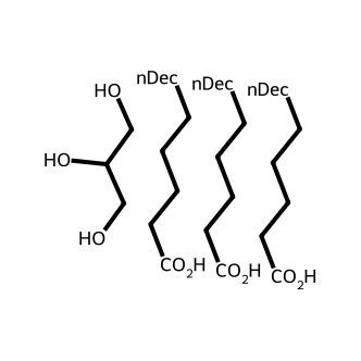 CCCCCCCCCCCCCCC(=O)O.CCCCCCCCCCCCCCC(=O)O.CCCCCCCCCCCCCCC(=O)O.OCC(O)CO